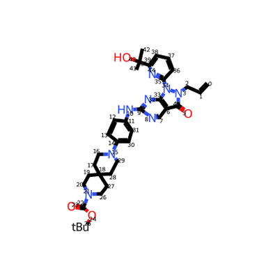 C=CCn1c(=O)c2cnc(Nc3ccc(N4CCC5(CCN(C(=O)OC(C)(C)C)CC5)CC4)cc3)nc2n1-c1cccc(C(C)(C)O)n1